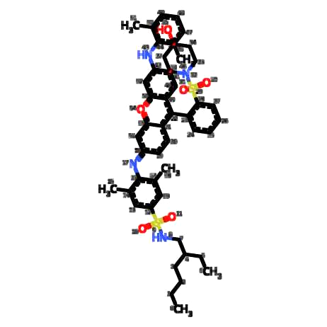 CCCCC(CC)CNS(=O)(=O)c1cc(C)c(/N=c2\ccc3c(-c4ccccc4S(=O)(=O)N4CCC(O)CC4)c4ccc(Nc5c(C)cccc5C)cc4oc-3c2)c(C)c1